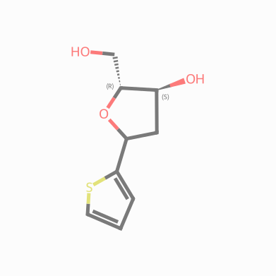 OC[C@H]1OC(c2cccs2)C[C@@H]1O